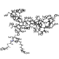 CCCCCCCCCCCCC/C=C/[C@@H](O)[C@H](CO[C@@H]1OC(CO)[C@@H](O[C@@H]2OC(CO)[C@H](O[C@@H]3OC(CO)[C@H](O)[C@H](O[C@@H]4OC(CO)[C@H](O[C@@H]5OC(CO)[C@H](O)[C@H](O)C5NC(C)=O)[C@H](O[C@]5(C(=O)O)CC(O)[C@@H](NC(=O)CO)C([C@H](O)[C@H](O)CO)O5)C4O)C3NC(C)=O)[C@H](O[C@]3(C(=O)O)CC(O)[C@@H](NC(C)=O)C([C@H](O)[C@H](O)CO)O3)C2O)[C@H](O)C1O)NC(=O)CCCCCCCCCCCCCCC